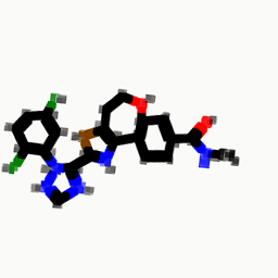 CNC(=O)c1ccc2c(c1)OCCc1sc(-c3ncnn3-c3cc(F)ccc3F)nc1-2